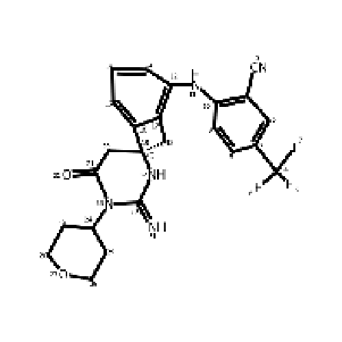 N#Cc1cc(C(F)(F)I)ccc1Nc1cccc2c1C[C@]21CC(=O)N(C2CCOCC2)C(=N)N1